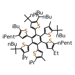 CCCCCc1sc(-c2c(-c3cc(C)c(C(C)C)s3)c(-c3cc(C(C)C)c(C(C)(C)CCCC)s3)c(-c3cc(C(C)CCC)c(C(C)CC)s3)c(-c3cc(C(C)(C)CCC)c(C(CCCC)C(C)CC)s3)c2-c2cc(C)c(C(C)(C)CCCC)s2)cc1CC